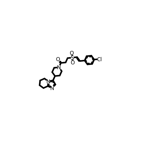 O=C(CCS(=O)(=O)C=Cc1ccc(Cl)cc1)N1CCC(c2cnc3n2CCCC3)CC1